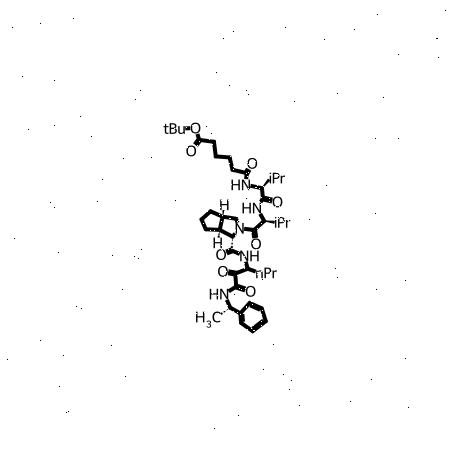 CCCC(NC(=O)[C@@H]1[C@H]2CCC[C@H]2CN1C(=O)[C@@H](NC(=O)[C@@H](NC(=O)CCCCC(=O)OC(C)(C)C)C(C)C)C(C)C)C(=O)C(=O)N[C@@H](C)c1ccccc1